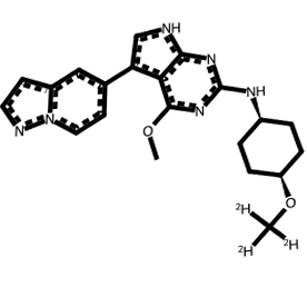 [2H]C([2H])([2H])O[C@H]1CC[C@@H](Nc2nc(OC)c3c(-c4ccn5nccc5c4)c[nH]c3n2)CC1